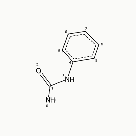 [NH]C(=O)Nc1[c]cccc1